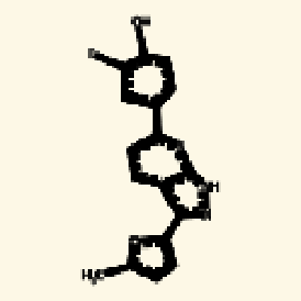 Cc1ccc(-c2n[nH]c3nc(-c4ccc(O)c(F)c4)ccc23)o1